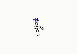 CC(C)Cc1nc2ccccc2n1-c1ccc(-c2c3ccccc3c(-c3ccc(-c4ccccc4)cc3)c3cc(-c4ccccc4)ccc23)cc1